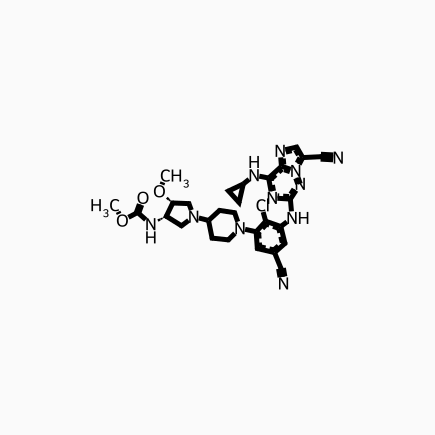 COC(=O)N[C@H]1CN(C2CCN(c3cc(C#N)cc(Nc4nc(NC5CC5)c5ncc(C#N)n5n4)c3Cl)CC2)C[C@H]1OC